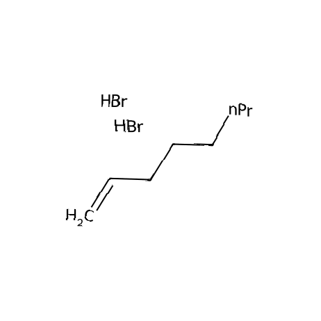 Br.Br.C=CCCCCCC